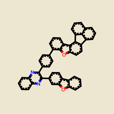 c1cc2c3c(cccc3c1)-c1c-2ccc2oc3c(-c4ccc(-c5nc6ccccc6nc5-c5ccc6c(c5)oc5ccccc56)cc4)cccc3c12